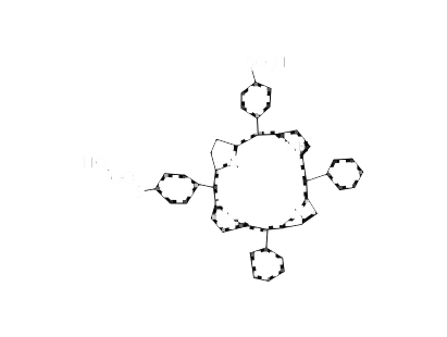 O=S(=O)(O)c1ccc(-c2c3nc(c(-c4ccc(SOOO)cc4)c4ccc([nH]4)c(-c4ccccc4)c4nc(c(-c5ccccc5)c5ccc2[nH]5)C=C4)CC3)cc1